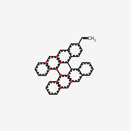 C=Cc1ccc2c(-c3c(P(c4ccccc4)c4ccccc4)ccc4ccccc34)c(P(c3ccccc3)c3ccccc3)ccc2c1